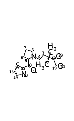 CC(C)(CCN1CCCC1C(=O)c1nccs1)C(=O)C=O